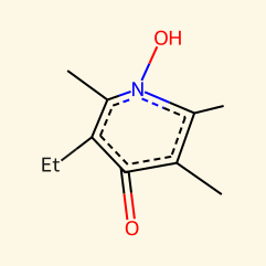 CCc1c(C)n(O)c(C)c(C)c1=O